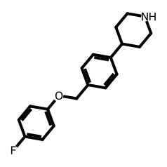 Fc1ccc(OCc2ccc(C3CCNCC3)cc2)cc1